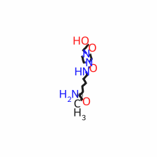 CC(=O)[C@@H](N)CCCCCNC(=O)N1CCN(CC(=O)O)CC1